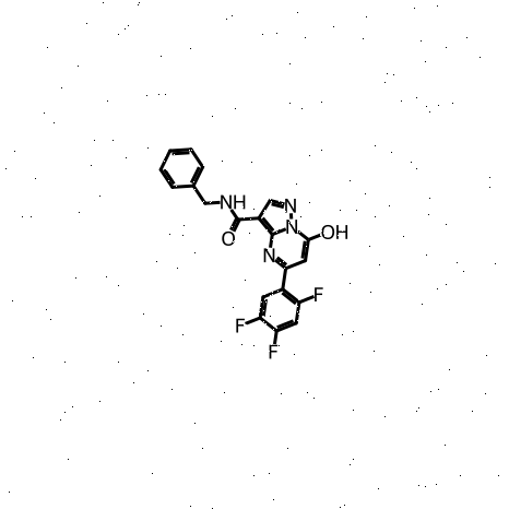 O=C(NCc1ccccc1)c1cnn2c(O)cc(-c3cc(F)c(F)cc3F)nc12